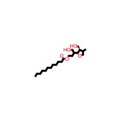 CCCCCCCCCCCC(=O)OCCC(CO)C1OCC(C)[C@@H]1CO